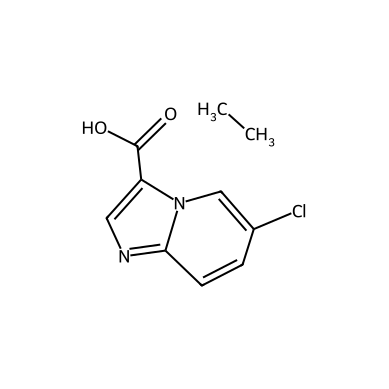 CC.O=C(O)c1cnc2ccc(Cl)cn12